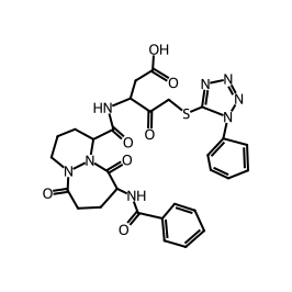 O=C(O)CC(NC(=O)C1CCCN2C(=O)CCC(NC(=O)c3ccccc3)C(=O)N12)C(=O)CSc1nnnn1-c1ccccc1